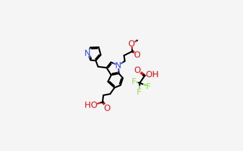 COC(=O)CCn1cc(Cc2cccnc2)c2cc(CCC(=O)O)ccc21.O=C(O)C(F)(F)F